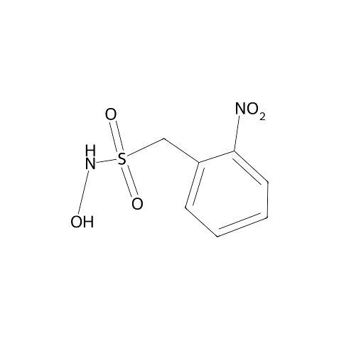 O=[N+]([O-])c1ccccc1CS(=O)(=O)NO